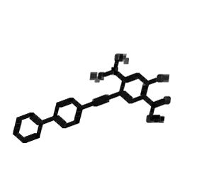 COC(=O)c1cc(C#Cc2ccc(-c3ccccc3)cc2)c(N(C)C)cc1O